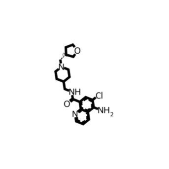 Nc1c(Cl)cc(C(=O)NCC2CCN(C[C@@H]3CCOC3)CC2)c2ncccc12